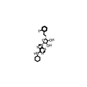 O[C@@H]1[C@H](O)[C@@H](CCc2ccccc2F)O[C@H]1n1cnc2c(NC3CCCCC3)ncnc21